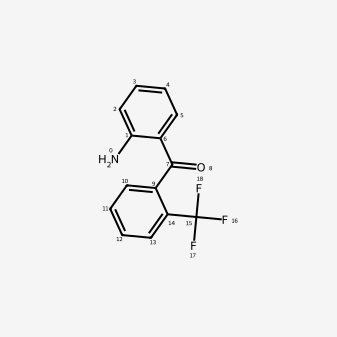 Nc1ccccc1C(=O)c1ccccc1C(F)(F)F